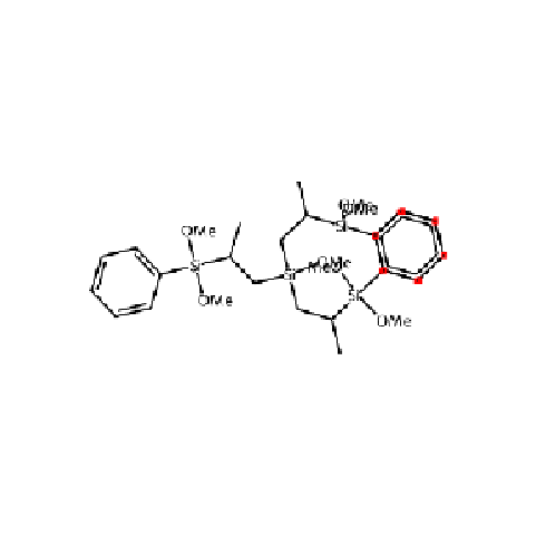 CO[Si](CC(C)[Si](OC)(OC)c1ccccc1)(CC(C)[Si](OC)(OC)c1ccccc1)CC(C)[Si](OC)(OC)c1ccccc1